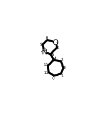 C1CCCC(C2COCC[N]2)CC1